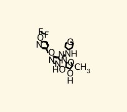 C[C@H]1O[C@@H](n2c(NC3CCOCC3)nc3c(OCc4ccc(OC(F)F)nc4)ncnc32)[C@H](O)[C@@H]1O